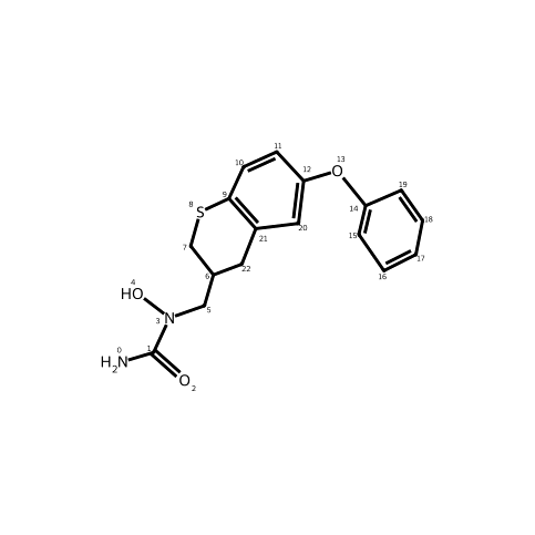 NC(=O)N(O)CC1CSc2ccc(Oc3ccccc3)cc2C1